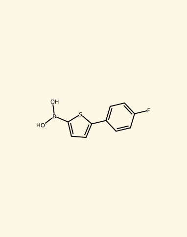 OB(O)c1ccc(-c2ccc(F)cc2)s1